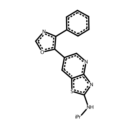 CC(C)Nc1nc2ncc(-c3ocnc3-c3ccccc3)cc2s1